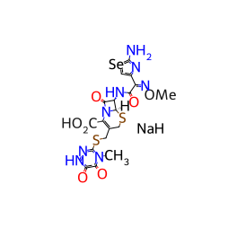 CO/N=C(\C(=O)N[C@@H]1C(=O)N2C(C(=O)O)=C(CSc3n[nH]c(=O)c(=O)n3C)CS[C@H]12)c1c[se]c(N)n1.[NaH]